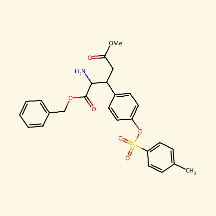 COC(=O)CC(c1ccc(OS(=O)(=O)c2ccc(C)cc2)cc1)C(N)C(=O)OCc1ccccc1